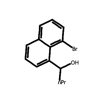 CCCC(O)c1cccc2cccc(Br)c12